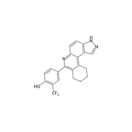 Oc1ccc(-c2nc3ccc4[nH]ncc4c3c3c2CCCC3)cc1C(F)(F)F